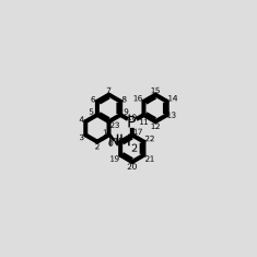 N[C@H]1CCCc2cccc(P(c3ccccc3)c3ccccc3)c21